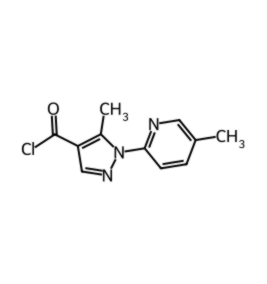 Cc1ccc(-n2ncc(C(=O)Cl)c2C)nc1